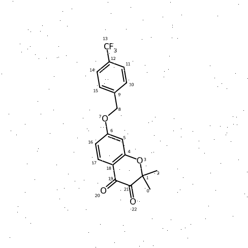 CC1(C)Oc2cc(OCc3ccc(C(F)(F)F)cc3)ccc2C(=O)C1=O